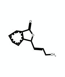 CC/C=C/C1OC(=O)c2ccccc21